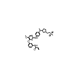 C=CC(=O)Nc1cccc(Oc2nc(Nc3ccc(N(C)C4CCN(CCS(C)(=O)=O)C4)cc3)ncc2OC)c1